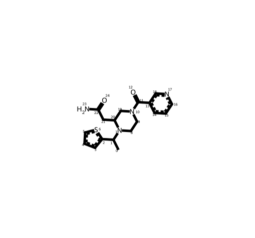 CC(c1cccs1)N1CCN(C(=O)c2cccnc2)CC1CC(N)=O